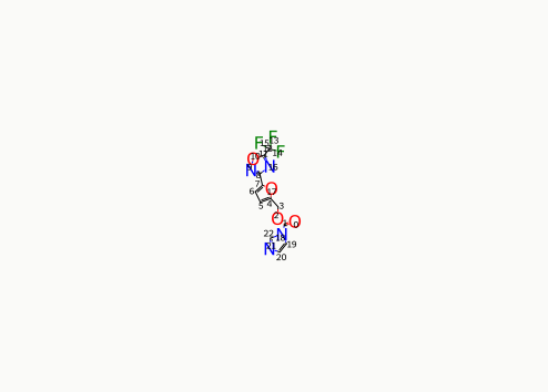 O=C(OCc1ccc(-c2noc(C(F)(F)F)n2)o1)n1ccnc1